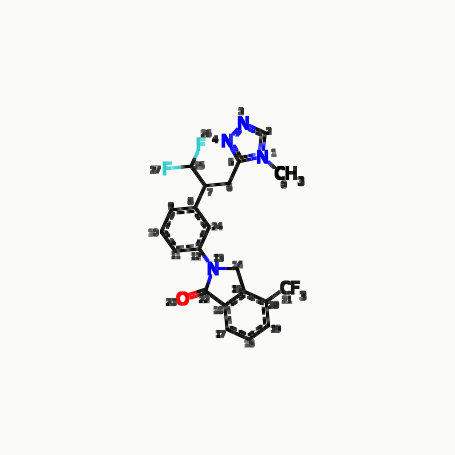 Cn1cnnc1CC(c1cccc(N2Cc3c(cccc3C(F)(F)F)C2=O)c1)C(F)F